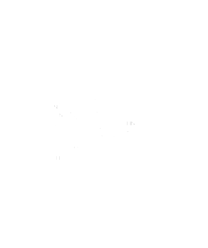 CC1=NN(c2cccc(C(=O)O)c2)C(=O)/C1=C\c1ccc(-c2ccc(Cl)c(C(=O)NCc3ccccc3Cl)c2)o1